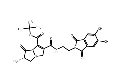 C[C@H]1CN2CC(C(=O)NCCN3C(=O)c4cc(O)c(O)cc4C3=O)=C(C(=O)OC(C)(C)C)N2C1=O